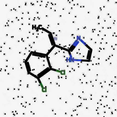 C/C=C(/c1ncc[nH]1)c1cccc(Cl)c1Cl